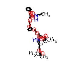 C=C(C)C(=O)OCCCCCNC(=O)OC(COCCOc1cccc(OCCOCC(COc2ccccc2)OC(=O)NCCCC)c1)COC(=O)C(=C)C